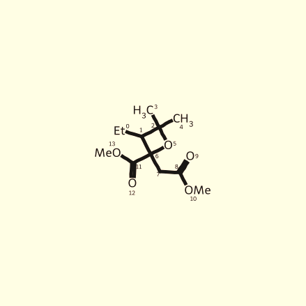 CCC1C(C)(C)OC1(CC(=O)OC)C(=O)OC